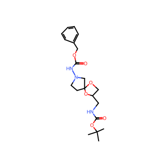 CC(C)(C)OC(=O)NCC1COC2(CCN(NC(=O)OCc3ccccc3)C2)O1